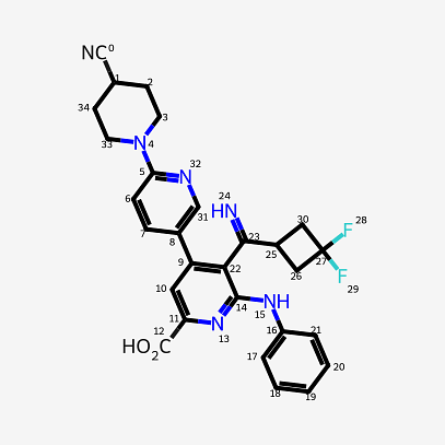 N#CC1CCN(c2ccc(-c3cc(C(=O)O)nc(Nc4ccccc4)c3C(=N)C3CC(F)(F)C3)cn2)CC1